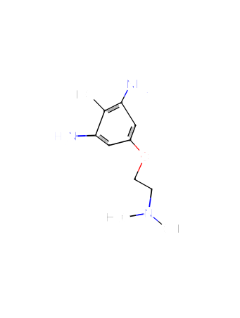 Cc1c(N)cc(OCCN(C)C)cc1N